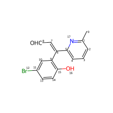 Cc1cccc(/C(=C/C=O)c2cc(Br)ccc2O)n1